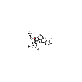 C=CC(=O)N1C[C@H]2C[C@@H](C1)[C@H]2Oc1cc2c(Nc3ccc(Cl)c(Cl)c3F)ncnc2cc1OC1COC1